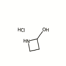 Cl.OC1CCN1